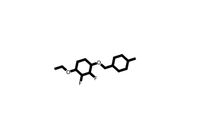 CCOC1CCC(OCC2CCC(C)CC2)C(F)C1F